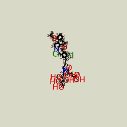 O=C(O)CCCC(=O)N(CCCCc1cc(Cl)c(COC2(c3cnccc3-c3ccccc3OC3CC3)CC2)cc1Cl)CC(O)C(O)C(O)C(O)CO